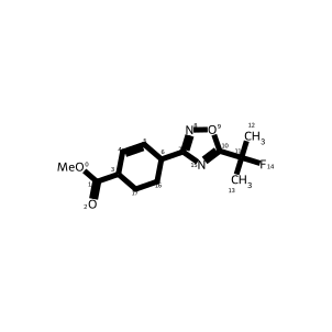 COC(=O)C1C=CC(c2noc(C(C)(C)F)n2)CC1